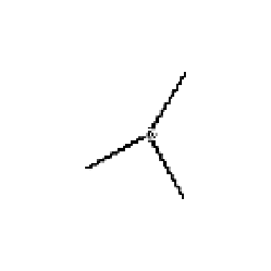 CCCCCCCCCCCCCC/C=C/C=C/OP(=O)(O/C=C/C=C/CCCCCCCCCCCCCC)O/C=C/C=C/CCCCCCCCCCCCCC